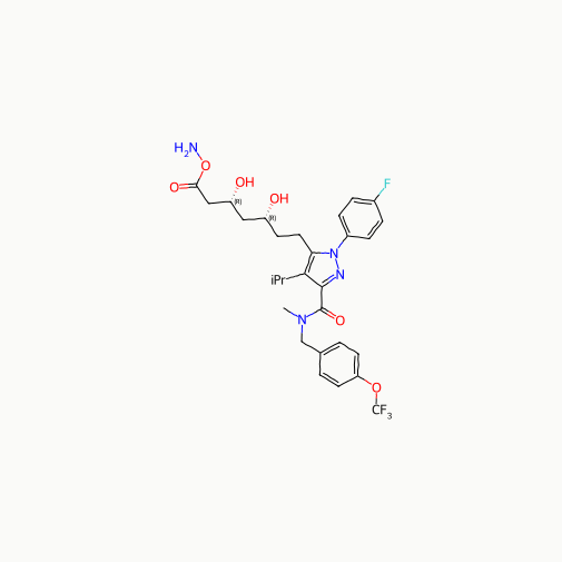 CC(C)c1c(C(=O)N(C)Cc2ccc(OC(F)(F)F)cc2)nn(-c2ccc(F)cc2)c1CC[C@@H](O)C[C@@H](O)CC(=O)ON